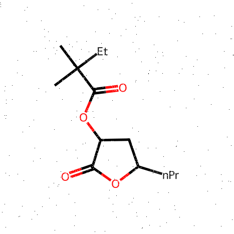 CCCC1CC(OC(=O)C(C)(C)CC)C(=O)O1